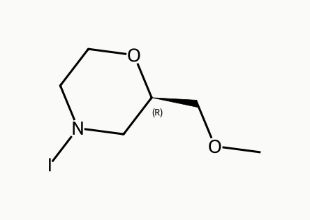 COC[C@H]1CN(I)CCO1